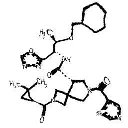 C[C@@H](OCC1CCCCC1)[C@H](NC(=O)[C@@H]1CN(C(=O)c2cncs2)CC12CN(C(=O)[C@H]1CC1(C)C)C2)c1nnco1